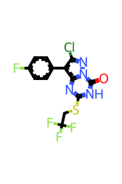 O=c1[nH]c(SCC(F)(F)F)nc2c(-c3ccc(F)cc3)c(Cl)nn12